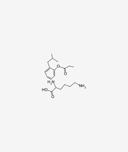 CCC(=O)Oc1ccccc1CC(C)C.NCCCCC(N)C(=O)O